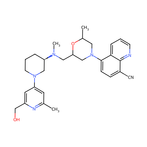 Cc1cc(N2CCC[C@@H](N(C)CC3CN(c4ccc(C#N)c5ncccc45)CC(C)O3)C2)cc(CO)n1